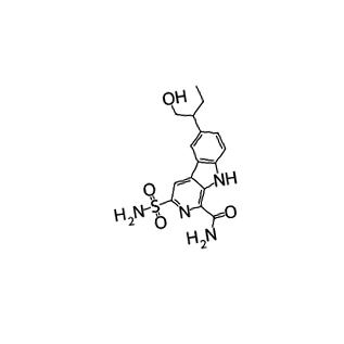 CCC(CO)c1ccc2[nH]c3c(C(N)=O)nc(S(N)(=O)=O)cc3c2c1